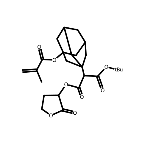 C=C(C)C(=O)OC12CC3CC(C1)CC(C(C(=O)OC1CCOC1=O)C(=O)OC(C)(C)C)(C3)C2